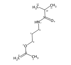 C=C(C)OCCCNC(=O)C(C)C